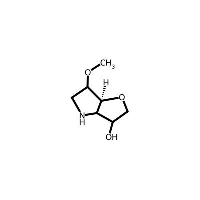 COC1CNC2C(O)CO[C@H]12